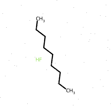 CCCCCCCCC.F